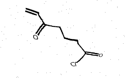 C=CC(=O)CCCC(=O)Cl